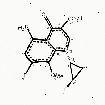 COc1c(F)cc(N)c2c(=O)c(C(=O)O)cn([C@@H]3C[C@H]3F)c12